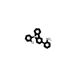 O=[N+]([O-])c1ccccc1-c1ccc2c(c1)c1ccccc1n2-c1ccccc1Cl